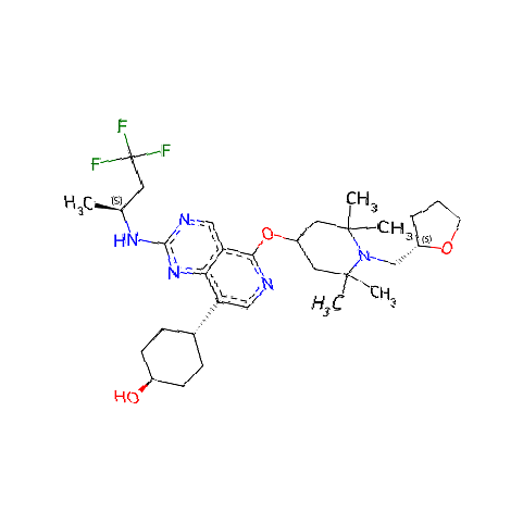 C[C@@H](CC(F)(F)F)Nc1ncc2c(OC3CC(C)(C)N(C[C@@H]4CCCO4)C(C)(C)C3)ncc([C@H]3CC[C@H](O)CC3)c2n1